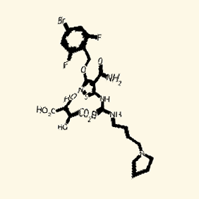 NC(=O)c1c(OCc2c(F)cc(Br)cc2F)nsc1NC(=O)NCCCCN1CCCC1.O=C(O)C(O)C(O)C(=O)O